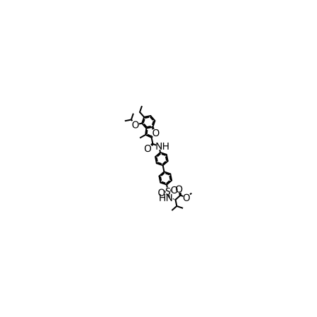 CCc1ccc2oc(C(=O)Nc3ccc(-c4ccc(S(=O)(=O)N[C@H](C(=O)OC)C(C)C)cc4)cc3)c(C)c2c1OC(C)C